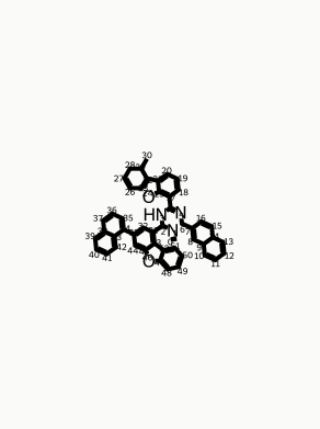 C=NC(N/C(=N\CC1=CC2C=CC=CC2C=C1)c1cccc2c3c(oc12)C=CCC3C)c1cc(-c2cccc3ccccc23)cc2oc3ccccc3c12